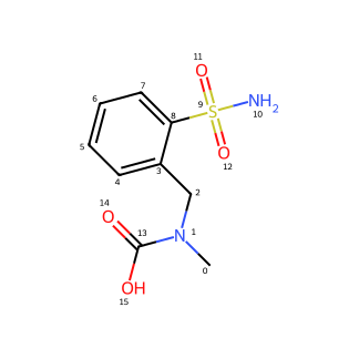 CN(Cc1ccccc1S(N)(=O)=O)C(=O)O